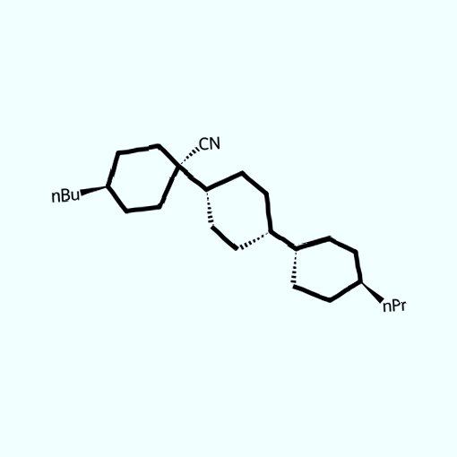 CCCC[C@H]1CC[C@@](C#N)([C@H]2CC[C@@H]([C@H]3CC[C@H](CCC)CC3)CC2)CC1